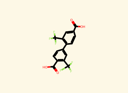 O=C(O)c1ccc(-c2ccc(C(=O)O)c(C(F)(F)F)c2)c(C(F)(F)F)c1